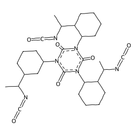 CC(N=C=O)C1CCCC(n2c(=O)n(C3CCCCC3C(C)N=C=O)c(=O)n(C3CCCCC3C(C)N=C=O)c2=O)C1